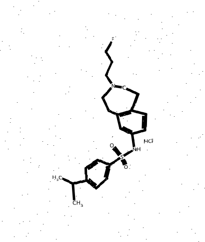 CC(C)c1ccc(S(=O)(=O)Nc2ccc3c(c2)CCN(CCCF)CC3)cc1.Cl